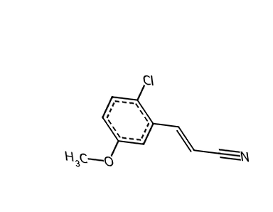 COc1ccc(Cl)c(C=CC#N)c1